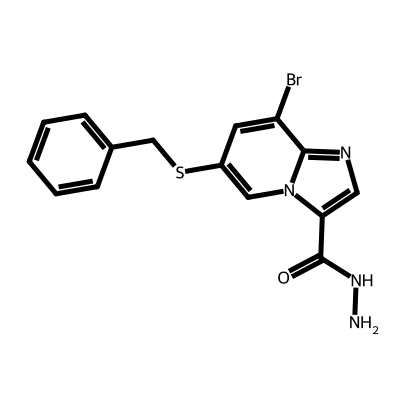 NNC(=O)c1cnc2c(Br)cc(SCc3ccccc3)cn12